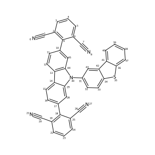 N#Cc1cccc(C#N)c1-c1ccc2c3ccc(-c4c(C#N)cccc4C#N)cc3n(-c3ccc4sc5ccccc5c4c3)c2c1